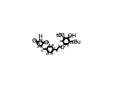 CC(C)(C)c1cc(OCCc2ccc(C[C@@H]3SC(=O)NC3=O)cc2)cc(C(C)(C)C)c1O